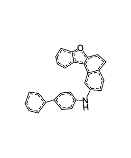 c1ccc(-c2ccc(Nc3ccc4ccc5oc6ccccc6c5c4c3)cc2)cc1